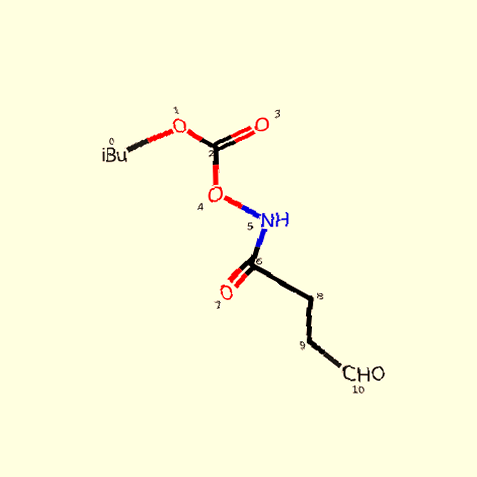 CCC(C)OC(=O)ONC(=O)CCC=O